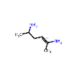 C/C(N)=C\CC(C)N